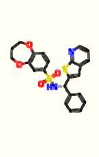 O=S(=O)(N[C@@H](c1ccccc1)c1cc2cccnc2s1)c1ccc2c(c1)OCCCO2